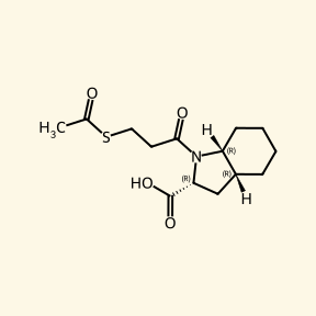 CC(=O)SCCC(=O)N1[C@@H](C(=O)O)C[C@H]2CCCC[C@H]21